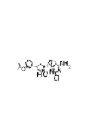 CC(C)Oc1cccc(C2CC(n3ccc4c(N)nc(Cl)nc43)[C@H](O)C2)c1